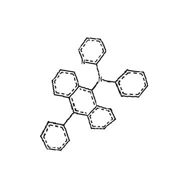 c1ccc(-c2c3ccccc3c(N(c3ccccc3)c3ccccn3)c3ccccc23)cc1